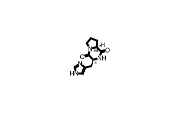 O=C1N[C@@H](Cc2c[nH]cn2)C(=O)N2CCC[C@@H]12